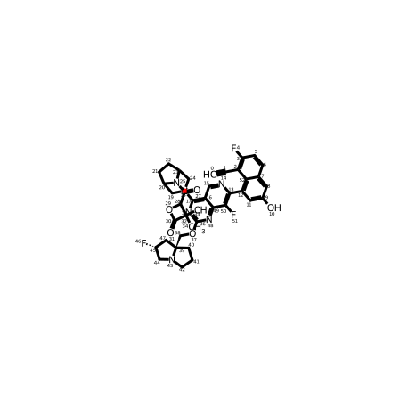 C#Cc1c(F)ccc2cc(O)cc(-c3ncc4c(N5CC6CCC(C5)N6C(=O)C5OC(=O)C5(C)C)nc(OC[C@@]56CCCN5C[C@H](F)C6)nc4c3F)c12